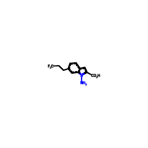 Nn1c(C(=O)O)cc2ccc(CCC(F)(F)F)cc21